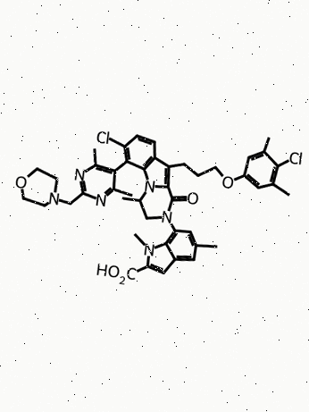 Cc1cc(N2CC(C)n3c(c(CCCOc4cc(C)c(Cl)c(C)c4)c4ccc(Cl)c(-c5c(C)nc(CN6CCOCC6)nc5C)c43)C2=O)c2c(c1)cc(C(=O)O)n2C